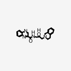 O=C(NC[C@H](O)CN1CCc2ccccc2C1)c1cnc2ccccc2n1